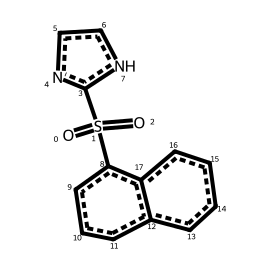 O=S(=O)(c1ncc[nH]1)c1cccc2ccccc12